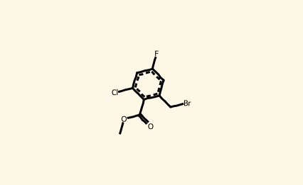 COC(=O)c1c(Cl)cc(F)cc1CBr